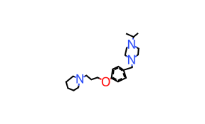 CC(C)N1CCN(Cc2ccc(OCCCN3CCCCC3)cc2)CC1